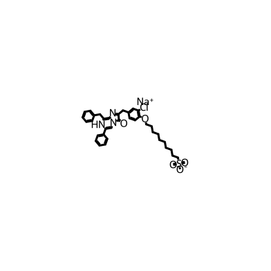 O=c1c(Cc2ccc(OCCCCCCCCCCS(=O)(=O)[O-])c(Cl)c2)nc2c(Cc3ccccc3)[nH]c(-c3ccccc3)cn1-2.[Na+]